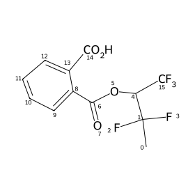 CC(F)(F)C(OC(=O)c1ccccc1C(=O)O)C(F)(F)F